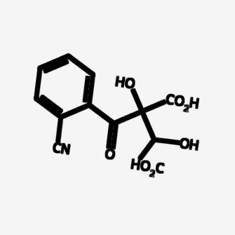 N#Cc1ccccc1C(=O)C(O)(C(=O)O)C(O)C(=O)O